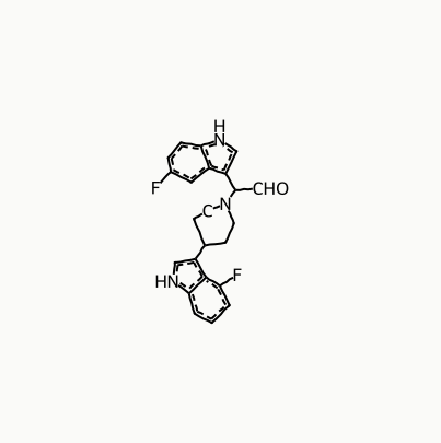 O=CC(c1c[nH]c2ccc(F)cc12)N1CCC(c2c[nH]c3cccc(F)c23)CC1